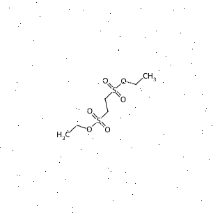 CCOS(=O)(=O)CCS(=O)(=O)OCC